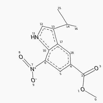 COC(=O)c1cc([N+](=O)[O-])c2[nH]cc(C(C)C)c2c1